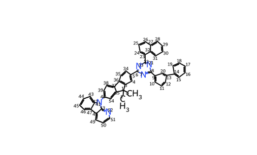 CC1(C)c2cc(-c3nc(-c4cccc(-c5ccccc5)c4)nc(-c4cccc5ccccc45)n3)ccc2-c2ccc(-n3c4ccccc4c4cccnc43)cc21